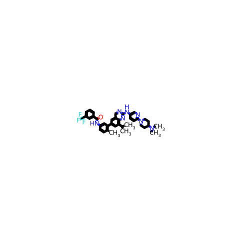 Cc1ccc(NC(=O)c2cccc(C(F)(F)F)c2)cc1-c1cc(C(C)C)c2nc(Nc3ccc(N4CCC(N(C)C)CC4)nc3)ncc2c1